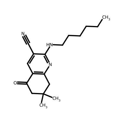 CCCCCCNc1nc2c(cc1C#N)C(=O)CC(C)(C)C2